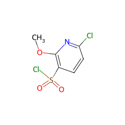 COc1nc(Cl)ccc1S(=O)(=O)Cl